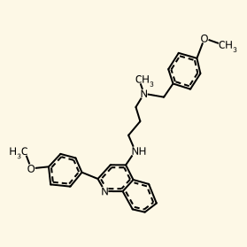 COc1ccc(CN(C)CCCNc2cc(-c3ccc(OC)cc3)nc3ccccc23)cc1